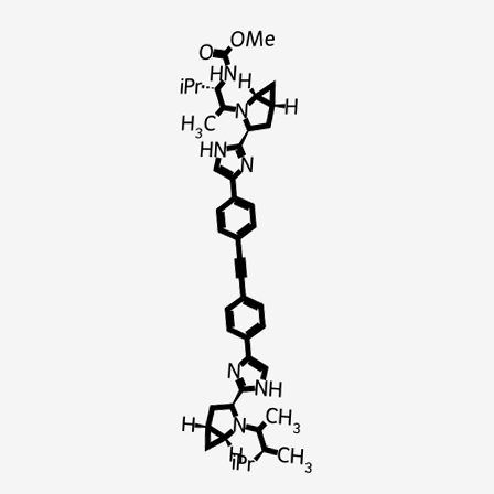 COC(=O)N[C@@H](C(C)C)C(C)N1[C@@H]2C[C@@H]2C[C@H]1c1nc(-c2ccc(C#Cc3ccc(-c4c[nH]c([C@@H]5C[C@H]6C[C@H]6N5C(C)[C@@H](C)C(C)C)n4)cc3)cc2)c[nH]1